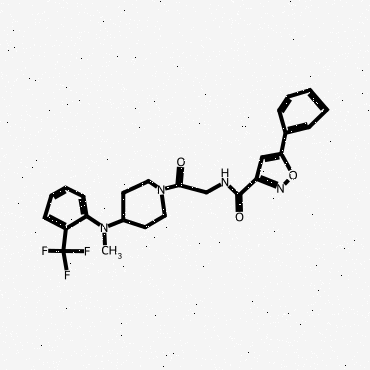 CN(c1ccccc1C(F)(F)F)C1CCN(C(=O)CNC(=O)c2cc(-c3ccccc3)on2)CC1